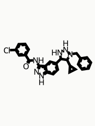 O=C(Nc1n[nH]c2ccc(C3NNN(Cc4ccccc4)C3C3CC3)cc12)c1cccc(Cl)c1